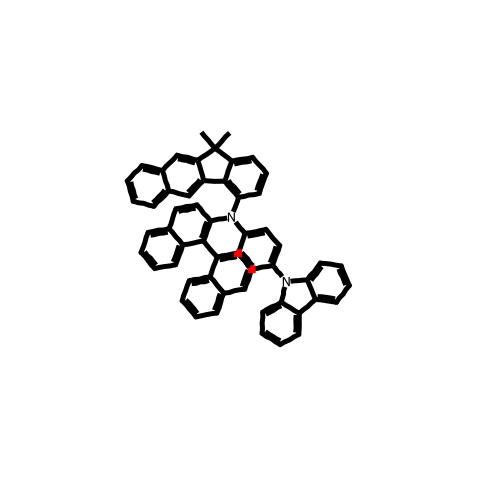 CC1(C)c2cc3ccccc3cc2-c2c(N(c3ccc(-n4c5ccccc5c5ccccc54)cc3)c3ccc4ccccc4c3-c3cccc4ccccc34)cccc21